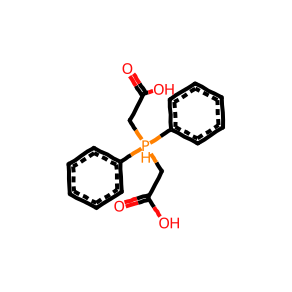 O=C(O)C[PH](CC(=O)O)(c1ccccc1)c1ccccc1